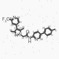 Cc1ccc(-c2ccc(NC(=O)Cn3nc(C)c(-c4ccnc(C(F)(F)F)c4)c3C)nc2)cc1